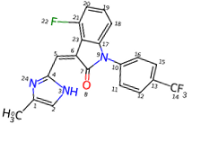 Cc1c[nH]c(C=C2C(=O)N(c3ccc(C(F)(F)F)cc3)c3cccc(F)c32)n1